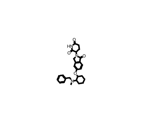 CN(Cc1ccccc1)C1CCCCC1Oc1ccc2c(c1)CN(C1CCC(=O)NC1=O)C2=O